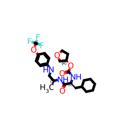 C[C@@H](CNc1ccc(OC(F)(F)F)cc1)NC(=O)[C@H](CC1CCCCC1)NC(=O)O[C@@H]1CCOC1